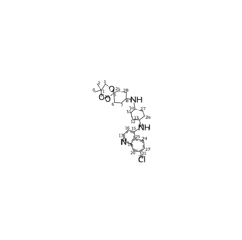 CC1(C)COC2(CCC(NC3CCC(Nc4ccnc5cc(Cl)ccc45)CC3)CC2)OO1